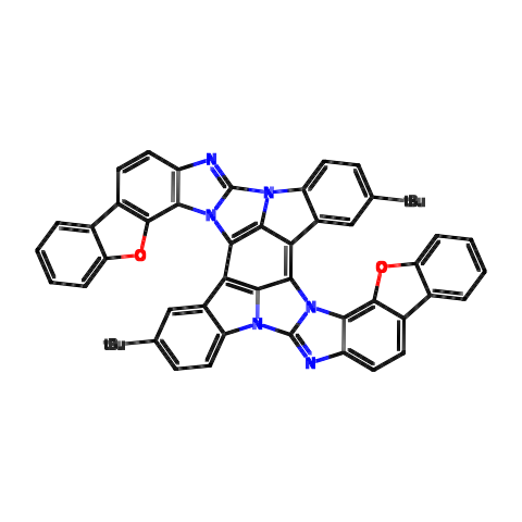 CC(C)(C)c1ccc2c(c1)c1c3c(c4c5cc(C(C)(C)C)ccc5n5c4c1n1c4c(ccc6c7ccccc7oc64)nc51)n1c4c(ccc5c6ccccc6oc54)nc1n23